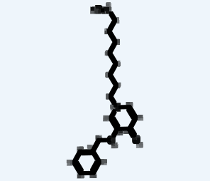 CCCCCCCCCCCCCCCCCCn1ccc(=O)c(OCc2ccccc2)c1